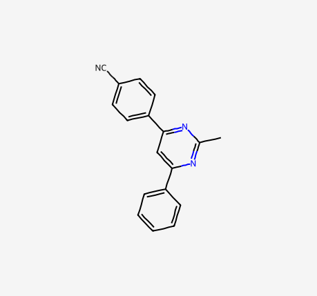 Cc1nc(-c2ccccc2)cc(-c2ccc(C#N)cc2)n1